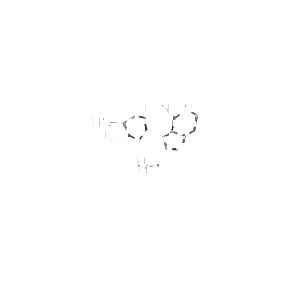 Cl.Cl.Nc1nccc2occ(-c3ccc4c(c3)CCN4)c12